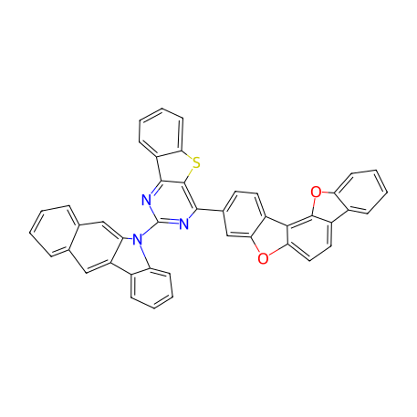 c1ccc2cc3c(cc2c1)c1ccccc1n3-c1nc(-c2ccc3c(c2)oc2ccc4c5ccccc5oc4c23)c2sc3ccccc3c2n1